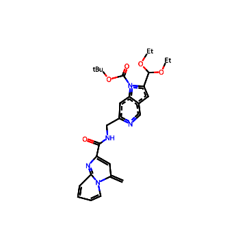 C=C1C=C(C(=O)NCc2cc3c(cn2)cc(C(OCC)OCC)n3C(=O)OC(C)(C)C)N=C2C=CC=CN12